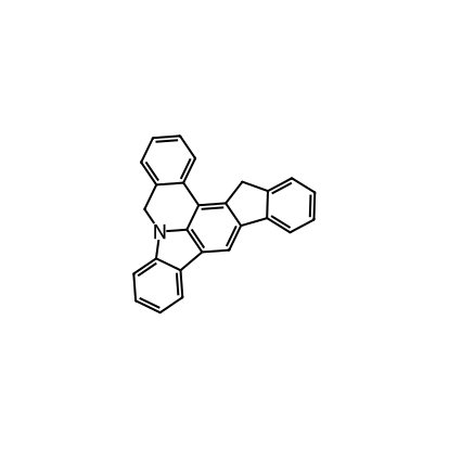 c1ccc2c(c1)Cc1c-2cc2c3ccccc3n3c2c1-c1ccccc1C3